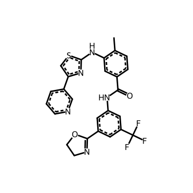 Cc1ccc(C(=O)Nc2cc(C3=NCCO3)cc(C(F)(F)F)c2)cc1Nc1nc(-c2cccnc2)cs1